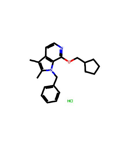 Cc1c(C)n(Cc2ccccc2)c2c(OCC3CCCC3)nccc12.Cl